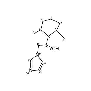 CC1CCCC(C)C1C(O)Cn1ccnc1